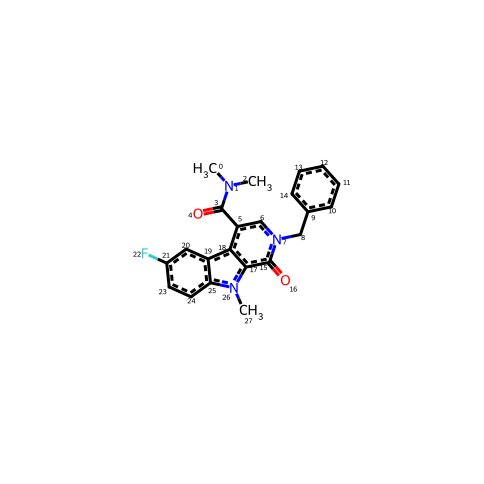 CN(C)C(=O)c1cn(Cc2ccccc2)c(=O)c2c1c1cc(F)ccc1n2C